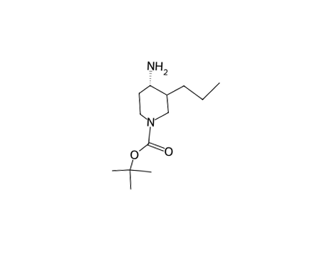 CCCC1CN(C(=O)OC(C)(C)C)CC[C@@H]1N